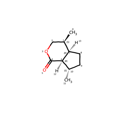 C[C@@H]1COC(=O)[C@H]2[C@@H]1CC[C@@H]2C